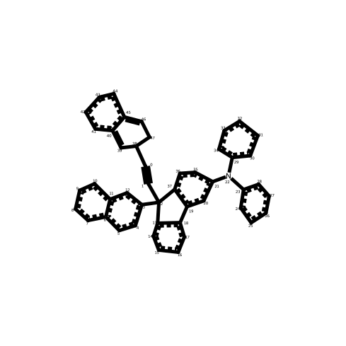 C(#CC1(c2ccc3ccccc3c2)c2ccccc2-c2cc(N(c3ccccc3)c3ccccc3)ccc21)C1C=c2ccccc2=CC1